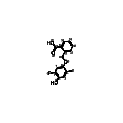 Cc1cc(O)c(F)cc1OCc1ccccc1C(=O)O